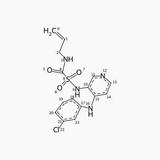 C=CCNC(=O)S(=O)(=O)Nc1cnccc1Nc1cccc(Cl)c1